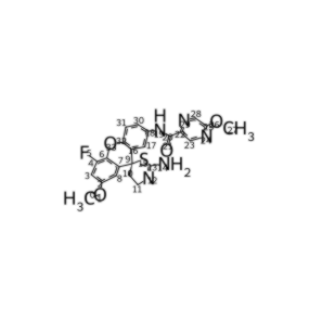 COc1cc(F)c2c(c1)[C@]1(CCN=C(N)S1)c1cc(NC(=O)c3cnc(OC)cn3)ccc1O2